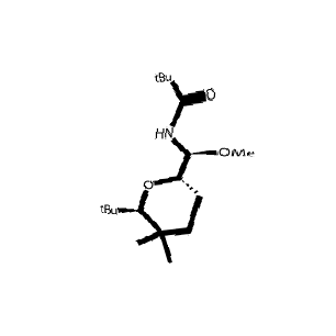 CO[C@H](NC(=O)C(C)(C)C)[C@@H]1CCC(C)(C)[C@@H](C(C)(C)C)O1